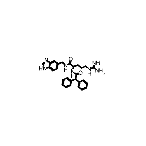 N=C(N)NCCCC(NC(=O)C(c1ccccc1)c1ccccc1)C(=O)NCc1ccc2[nH]cnc2c1